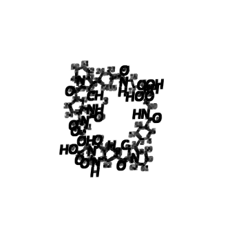 Cc1c(-c2ccc(C(=O)NCCO[PH](O)(O)OCCNC(=O)c3ccc(-c4c(C)c(C(=O)C5C=Cc6c([nH]c(=O)n(CC(=O)O)c6=O)C5)n5ccccc45)cc3)cc2)c2ccccn2c1C(=O)c1ccc2c(=O)n(CC(=O)O)c(=O)[nH]c2c1